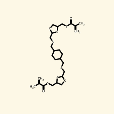 C=C(C)C(=O)SCC1CSC(CSCC2CCC(CSCC3SCC(CSC(=O)C(=C)C)S3)CC2)S1